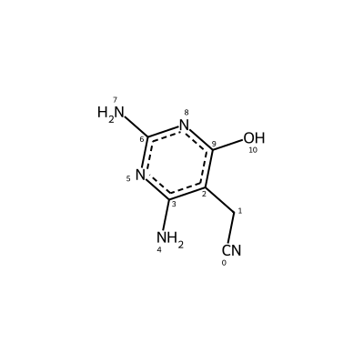 N#CCc1c(N)nc(N)nc1O